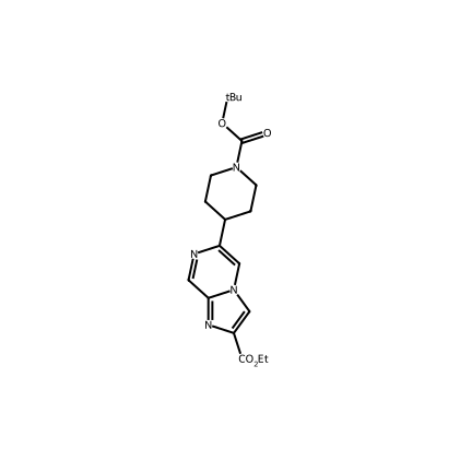 CCOC(=O)c1cn2cc(C3CCN(C(=O)OC(C)(C)C)CC3)ncc2n1